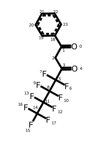 O=C(CC(=O)C(F)(F)C(F)(F)C(F)(F)C(F)(F)F)c1ccccc1